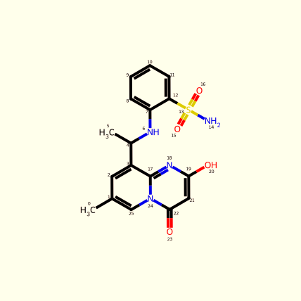 Cc1cc(C(C)Nc2ccccc2S(N)(=O)=O)c2nc(O)cc(=O)n2c1